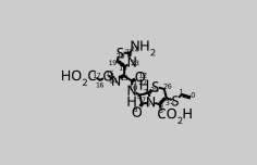 C=CSC1=C(C(=O)O)N2C(=O)C(NC(=O)C(=NOCC(=O)O)c3csc(N)n3)[C@@H]2SC1